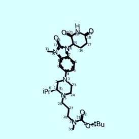 CC(C)[C@H]1CN(c2ccc3c(c2)n(C)c(=O)n3C2CCC(=O)NC2=O)CCN1CCCN(C)C(=O)OC(C)(C)C